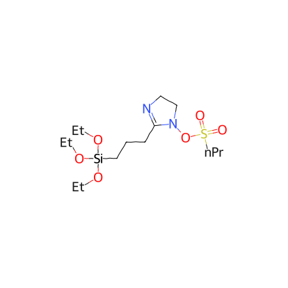 CCCS(=O)(=O)ON1CCN=C1CCC[Si](OCC)(OCC)OCC